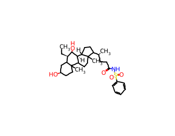 CC[C@@H]1C2C[C@H](O)CCC2(C)C2CCC3(C)C([C@H](C)CCC(=O)NS(=O)(=O)c4ccccc4)CC[C@H]3[C@@H]2[C@@H]1O